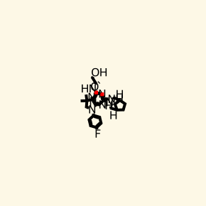 COc1cc(N2C[C@H]3CC[C@@H](C2)[C@@H]3Nc2nc(NCCO)c3c(n2)N(c2ccc(F)cc2)CC3(C)C)cnn1